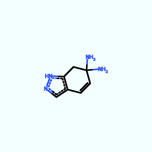 NC1(N)C=Cc2cn[nH]c2C1